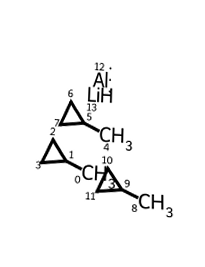 CC1CC1.CC1CC1.CC1CC1.[Al].[LiH]